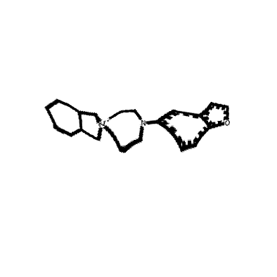 c1cc2cc(N3CC[N+]4(CC3)CC3CCCCC3C4)ccc2o1